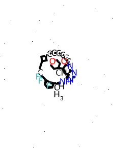 C[C@H]1Nc2ncnc3c2cc(C2(C#N)CCOCC2)c(=O)n3CCCCCCC2CC(CCC(F)(F)c3cccc1c3F)C2